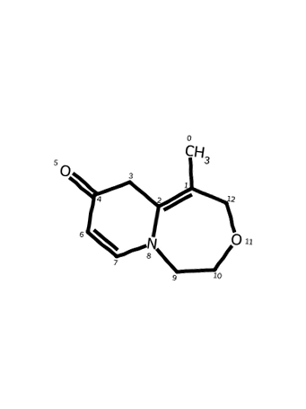 CC1=C2CC(=O)C=CN2CCOC1